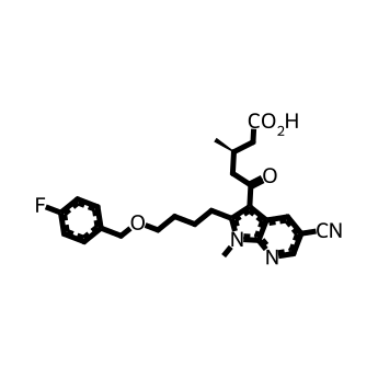 C[C@@H](CC(=O)O)CC(=O)c1c(CCCCOCc2ccc(F)cc2)n(C)c2ncc(C#N)cc12